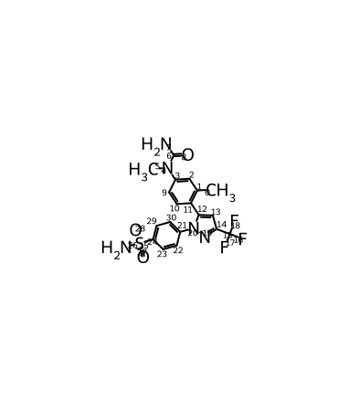 Cc1cc(N(C)C(N)=O)ccc1-c1cc(C(F)(F)F)nn1-c1ccc(S(N)(=O)=O)cc1